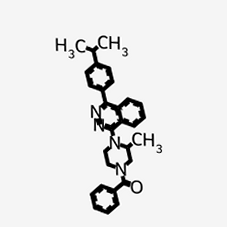 CC(C)c1ccc(-c2nnc(N3CCN(C(=O)c4ccccc4)CC3C)c3ccccc23)cc1